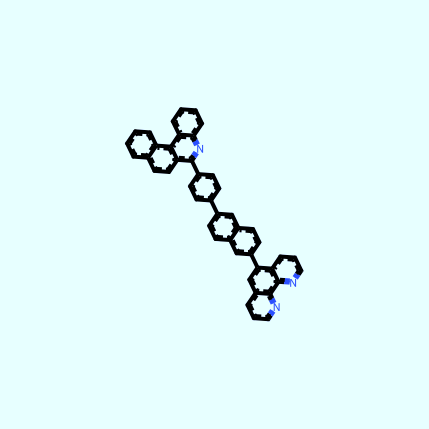 c1ccc2c(c1)ccc1c(-c3ccc(-c4ccc5cc(-c6cc7cccnc7c7ncccc67)ccc5c4)cc3)nc3ccccc3c12